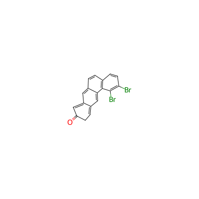 O=C1C=c2cc3ccc4ccc(Br)c(Br)c4c3cc2=CC1